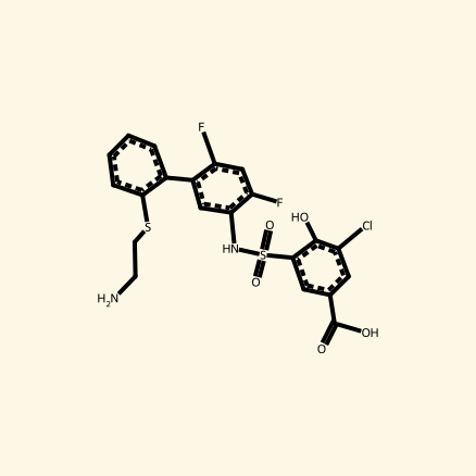 NCCSc1ccccc1-c1cc(NS(=O)(=O)c2cc(C(=O)O)cc(Cl)c2O)c(F)cc1F